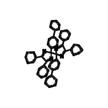 c1ccc(C2=NC(c3ccc(-c4ccccc4)cc3)(C3(c4ccc(-c5ccccc5)cc4)N=C(c4ccccc4)C(c4ccccc4)=N3)N=C2c2ccccc2)cc1